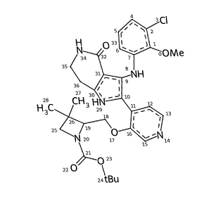 COc1c(Cl)cccc1Nc1c(-c2ccncc2OCC2N(C(=O)OC(C)(C)C)CC2(C)C)[nH]c2c1C(=O)NCC2